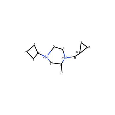 CC1CN(C2CCC2)CCN1CC1CC1